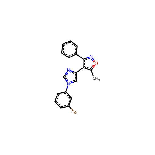 Cc1onc(-c2ccccc2)c1-c1cn(-c2cccc(Br)c2)cn1